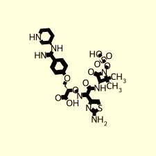 CC1(C)[C@H](NC(=O)C(=NO[C@@H](COc2ccc(C(=N)N[C@@H]3CCCNC3)cc2)C(=O)O)c2csc(N)n2)C(=O)N1OS(=O)(=O)O